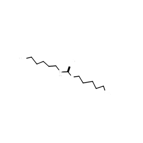 CCCCCCNC(=S)SCCCCCC.[Zn]